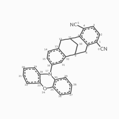 N#Cc1ccc(C#N)c2c1CC1CC2Cc2ccc(N3c4ccccc4Oc4ccccc43)cc21